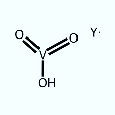 [O]=[V](=[O])[OH].[Y]